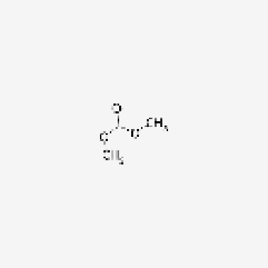 COC([O])OC